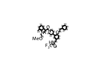 COCCn1cc(C(=O)N2CCC(c3cc(CNC(=O)C(F)(F)F)ccc3OCCc3ccccc3)CC2)c2cccc(C)c21